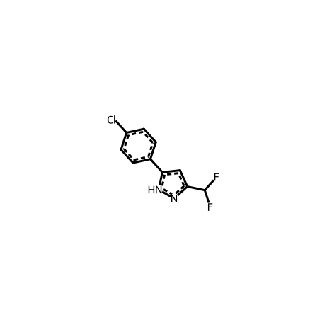 FC(F)c1cc(-c2ccc(Cl)cc2)[nH]n1